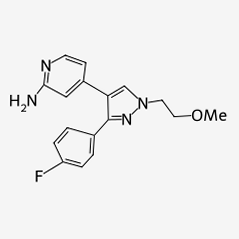 COCCn1cc(-c2ccnc(N)c2)c(-c2ccc(F)cc2)n1